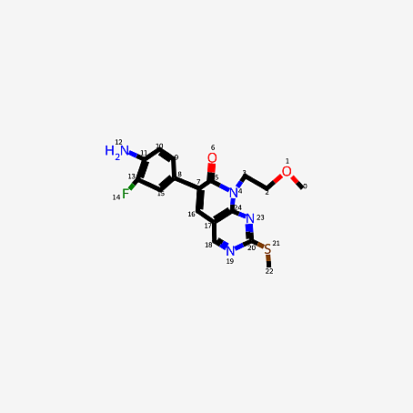 COCCn1c(=O)c(-c2ccc(N)c(F)c2)cc2cnc(SC)nc21